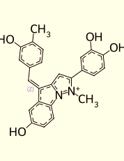 Cc1ccc(/C=c2/c3cc(O)ccc3n3c2cc(-c2ccc(O)c(O)c2)[n+]3C)cc1O